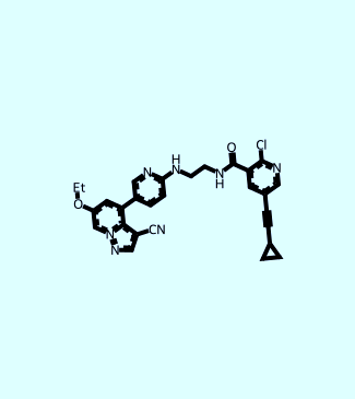 CCOc1cc(-c2ccc(NCCNC(=O)c3cc(C#CC4CC4)cnc3Cl)nc2)c2c(C#N)cnn2c1